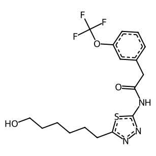 O=C(Cc1cccc(OC(F)(F)F)c1)Nc1nnc(CCCCCCO)s1